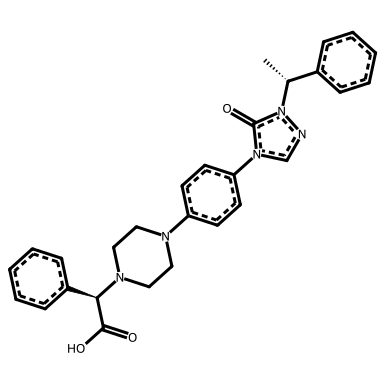 C[C@H](c1ccccc1)n1ncn(-c2ccc(N3CCN([C@@H](C(=O)O)c4ccccc4)CC3)cc2)c1=O